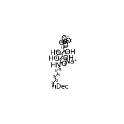 CCCCCCCCCCCCCCCCNC(=O)[C@H](O)[C@@H](O)[C@H](O)[C@H](O)COS(=O)(=O)[O-].[Na+]